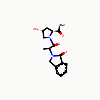 COC(=O)[C@@H]1C[C@@H](O)CN1C(=O)C(C)N1Cc2ccccc2C1=O